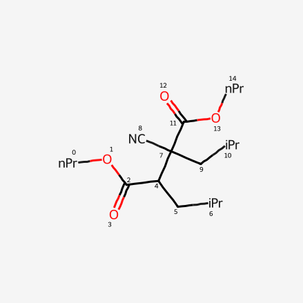 CCCOC(=O)C(CC(C)C)C(C#N)(CC(C)C)C(=O)OCCC